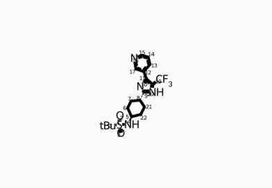 CC(C)(C)S(=O)(=O)N[C@H]1CC[C@H](c2nc(-c3cccnc3)c(C(F)(F)F)[nH]2)CC1